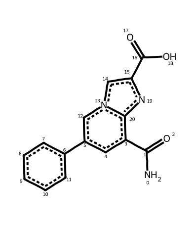 NC(=O)c1cc(-c2ccccc2)cn2cc(C(=O)O)nc12